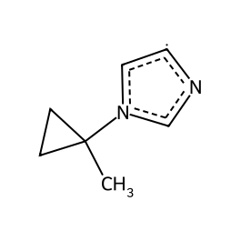 CC1(n2c[c]nc2)CC1